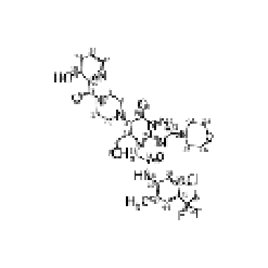 CCc1c(N2CCN(C(=O)c3ncccc3O)CC2)c(=O)n2nc(N3CCOCC3)nc2n1CC(=O)Nc1cc(Cl)c(C(F)(F)F)cc1C